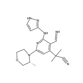 C[C@@H]1COCCN1c1cc(C(C)(C)C#N)c(C=N)c(Nc2cc[nH]n2)n1